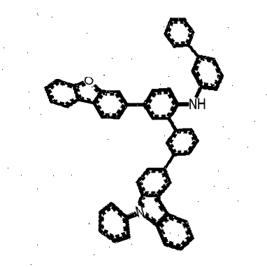 c1ccc(-c2cccc(Nc3ccc(-c4ccc5c(c4)oc4ccccc45)cc3-c3cccc(-c4ccc5c(c4)c4ccccc4n5-c4ccccc4)c3)c2)cc1